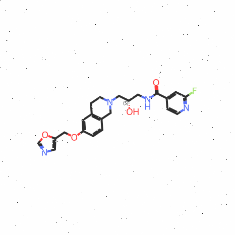 O=C(NC[C@H](O)CN1CCc2cc(OCc3cnco3)ccc2C1)c1ccnc(F)c1